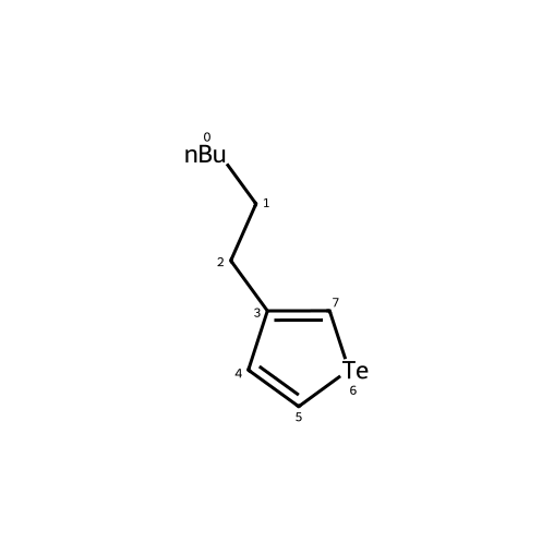 CCCCCCc1cc[te]c1